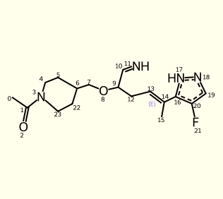 CC(=O)N1CCC(COC(C=N)C/C=C(\C)c2[nH]ncc2F)CC1